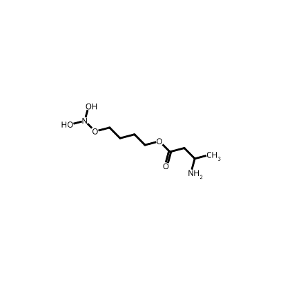 CC(N)CC(=O)OCCCCON(O)O